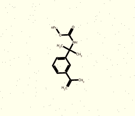 C=C(C)c1cccc(C(C)(C)NC(=O)OCCC)c1